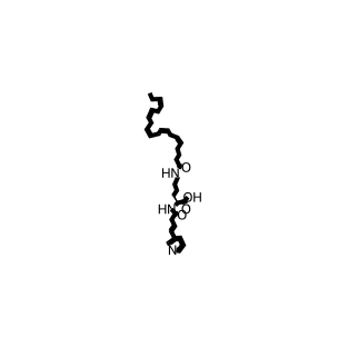 CC/C=C\C/C=C\C/C=C\C/C=C\C/C=C\CCCC(=O)NCCCC[C@H](NC(=O)C/C=C/c1cccnc1)C(=O)O